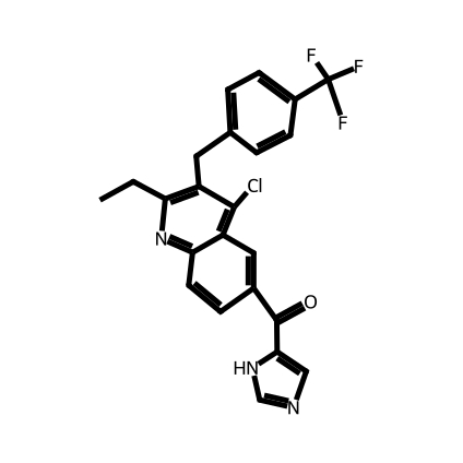 CCc1nc2ccc(C(=O)c3cnc[nH]3)cc2c(Cl)c1Cc1ccc(C(F)(F)F)cc1